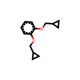 [c]1cccc(OCC2CC2)c1OCC1CC1